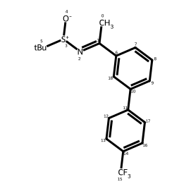 CC(=N[S+]([O-])C(C)(C)C)c1cccc(-c2ccc(C(F)(F)F)cc2)c1